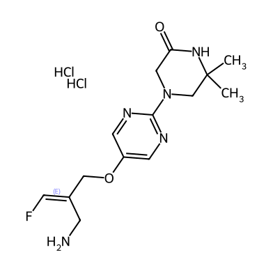 CC1(C)CN(c2ncc(OC/C(=C/F)CN)cn2)CC(=O)N1.Cl.Cl